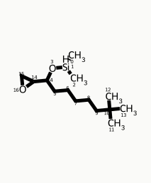 C[SiH](C)OC(CCCCCC(C)(C)C)C1CO1